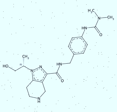 C[C@@H](CO)n1nc(C(=O)NCc2ccc(NC(=O)N(C)C)cc2)c2c1CCNC2